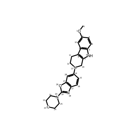 COc1ccc2[nH]c3c(c2c1)CCN(c1ccc2nc(N4CCOCC4)oc2c1)C3